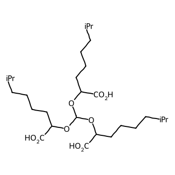 CC(C)CCCCC(O[C](OC(CCCCC(C)C)C(=O)O)OC(CCCCC(C)C)C(=O)O)C(=O)O